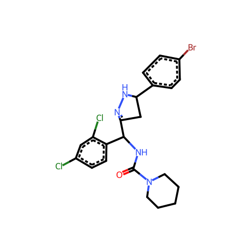 O=C(NC(C1=NNC(c2ccc(Br)cc2)C1)c1ccc(Cl)cc1Cl)N1CCCCC1